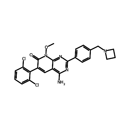 COn1c(=O)c(-c2c(Cl)cccc2Cl)cc2c(N)nc(-c3ccc(CN4CCC4)cc3)nc21